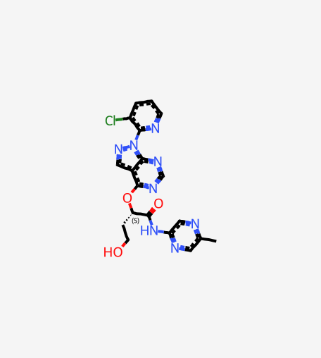 Cc1cnc(NC(=O)[C@H](CCO)Oc2ncnc3c2cnn3-c2ncccc2Cl)cn1